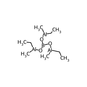 C[CH2][Al]([CH3])[O]B([O][Al]([CH3])[CH2]C)[O][Al]([CH3])[CH2]C